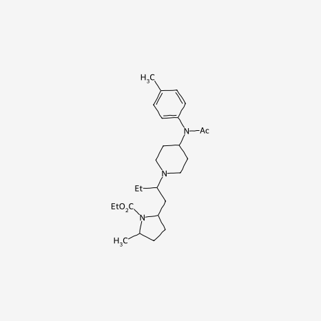 CCOC(=O)N1C(C)CCC1CC(CC)N1CCC(N(C(C)=O)c2ccc(C)cc2)CC1